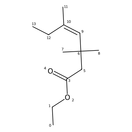 CCOC(=O)CC(C)(C)C=C(C)CC